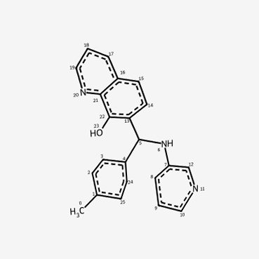 Cc1ccc(C(Nc2cccnc2)c2ccc3cccnc3c2O)cc1